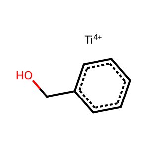 OCc1ccccc1.[Ti+4]